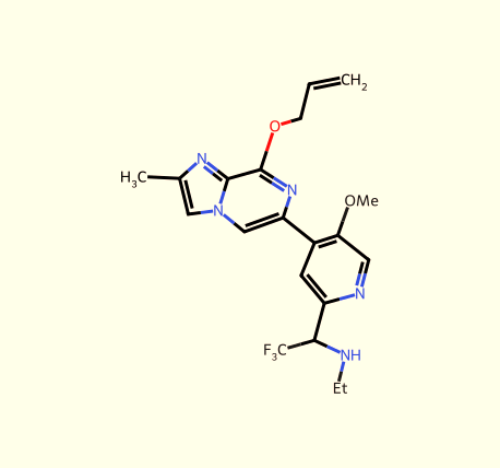 C=CCOc1nc(-c2cc(C(NCC)C(F)(F)F)ncc2OC)cn2cc(C)nc12